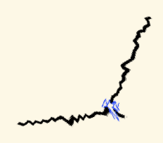 [CH2]c1nc(CCCCCCCCCCCCCCCCCCCC)nc(CCCCCCCCCCCCCCCCCCCC)n1